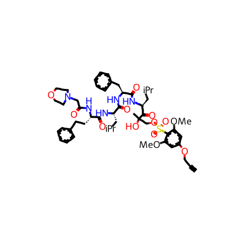 C#CCOc1cc(OC)c(S(=O)(=O)OCC(C)(O)C(=O)[C@H](CC(C)C)NC(=O)[C@H](Cc2ccccc2)NC(=O)[C@H](CC(C)C)NC(=O)[C@H](CCc2ccccc2)NC(=O)CN2CCOCC2)c(OC)c1